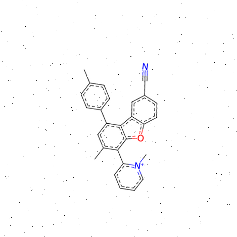 Cc1ccc(-c2cc(C)c(-c3cccc[n+]3C)c3oc4ccc(C#N)cc4c23)cc1